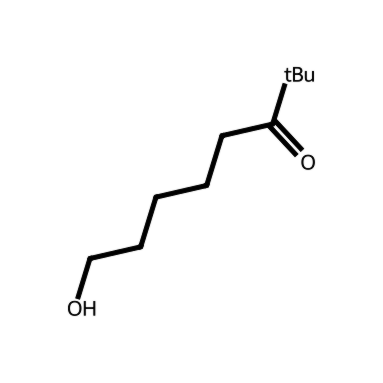 CC(C)(C)C(=O)CCCCCO